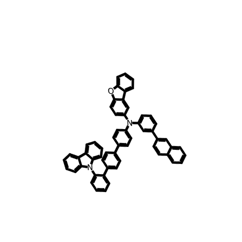 c1cc(-c2ccc3ccccc3c2)cc(N(c2ccc(-c3ccc(-c4ccccc4-n4c5ccccc5c5ccccc54)cc3)cc2)c2ccc3oc4ccccc4c3c2)c1